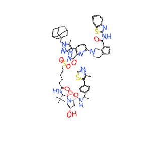 Cc1ncsc1-c1ccc(C(C)NC(=O)[C@@H]2C[C@@H](O)CN2C(=O)C(NC(=O)CCCCCS(=O)(=O)NC(=O)c2nc(N3CCc4cccc(C(=O)Nc5nc6ccccc6s5)c4C3)ccc2-c2cnn(CC34CC5CC(CC(C5)C3)C4)c2C)C(C)(C)C)cc1